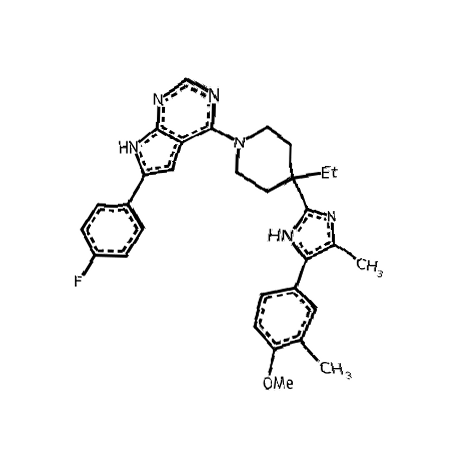 CCC1(c2nc(C)c(-c3ccc(OC)c(C)c3)[nH]2)CCN(c2ncnc3[nH]c(-c4ccc(F)cc4)cc23)CC1